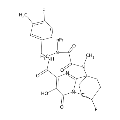 CCCN(C)C(=O)C(=O)N(C)C12CCC(F)(CC1)Cn1c2nc(C(=O)NCc2ccc(F)c(C)c2)c(O)c1=O